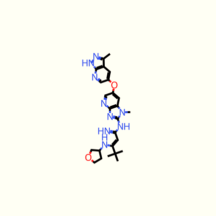 Cc1n[nH]c2ncc(Oc3cnc4nc(NC(=N)/C=C(\NC5CCOC5)C(C)(C)C)n(C)c4c3)cc12